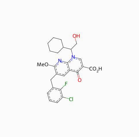 COc1nc2c(cc1Cc1cccc(Cl)c1F)c(=O)c(C(=O)O)cn2C(CO)C1CCCCC1